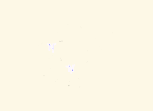 c1ccc(-c2ccccc2N(c2ccc(-c3ccc4ccccc4c3)cc2)c2cccc(-n3c4ccccc4c4cc5ccccc5cc43)c2)cc1